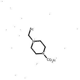 CC(=O)CN1CCN(C(=O)O)CC1